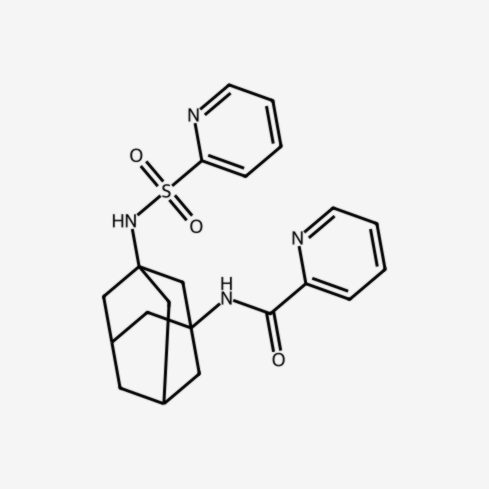 O=C(NC12CC3CC(C1)CC(NS(=O)(=O)c1ccccn1)(C3)C2)c1ccccn1